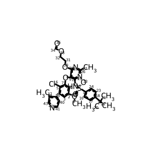 COc1ccc(Cl)c(Oc2c(NS(=O)(=O)c3ccc(C(C)(C)C)cc3)nc(C)nc2OCCOC=O)c1.Cc1cccnc1